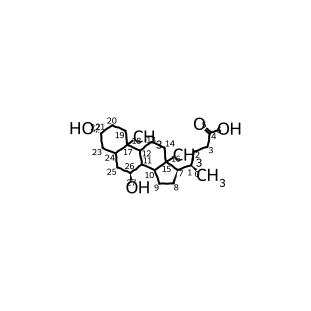 C[C@H](CCC(=O)O)[C@H]1CCC2C3C(CCC21C)C1(C)CC[C@@H](O)CC1C[C@@H]3O